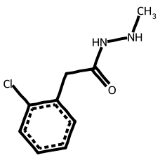 CNNC(=O)Cc1ccccc1Cl